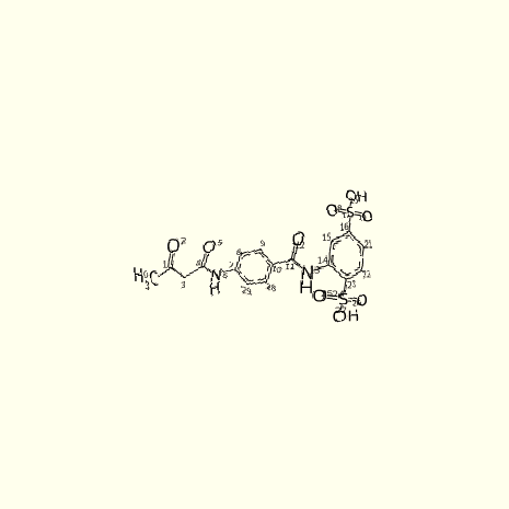 CC(=O)CC(=O)Nc1ccc(C(=O)Nc2cc(S(=O)(=O)O)ccc2S(=O)(=O)O)cc1